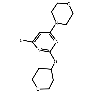 Clc1cc(N2CCOCC2)nc(OC2CCOCC2)n1